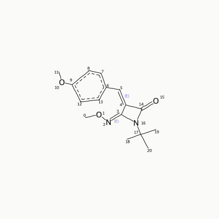 CO/N=C1\C(=C/c2ccc(OC)cc2)C(=O)N1C(C)(C)C